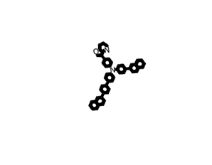 c1ccc2cc(-c3ccc(-c4ccc(N(c5ccc(-c6ccc7ccccc7c6)cc5)c5ccc(-c6coc7cccnc67)cc5)cc4)cc3)ccc2c1